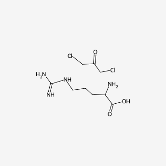 N=C(N)NCCCC(N)C(=O)O.O=C(CCl)CCl